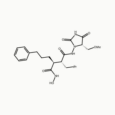 COC[C@H]1C(=O)NC(=O)N1NC(=O)[C@H](CC(C)C)[C@H](CCCc1ccccc1)C(=O)NO